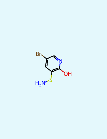 NSc1cc(Br)cnc1O